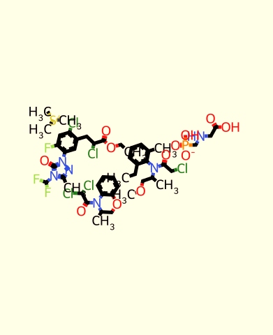 CC1COc2ccccc2N1C(=O)C(Cl)Cl.CCOC(=O)C(Cl)Cc1cc(-n2nc(C)n(C(F)F)c2=O)c(F)cc1Cl.CCc1cccc(C)c1N(C(=O)CCl)C(C)COC.C[S+](C)C.O=C(O)CNCP(=O)([O-])O